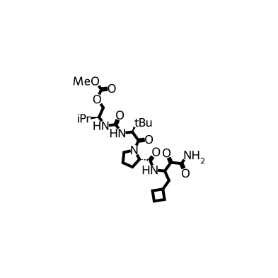 COC(=O)OC[C@@H](NC(=O)N[C@H](C(=O)N1CCC[C@H]1C(=O)NC(CC1CCC1)C(=O)C(N)=O)C(C)(C)C)C(C)C